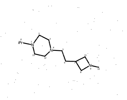 CC(C)N1CCN(CCC2CN(C)C2)CC1